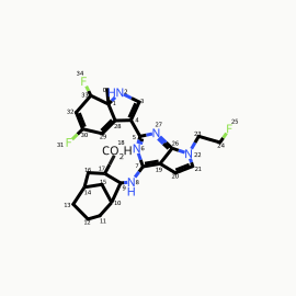 CC12NC=C(c3nc(NC4C5CCCC(C5)CC4C(=O)O)c4ccn(CCF)c4n3)C1=CC(F)=CC2F